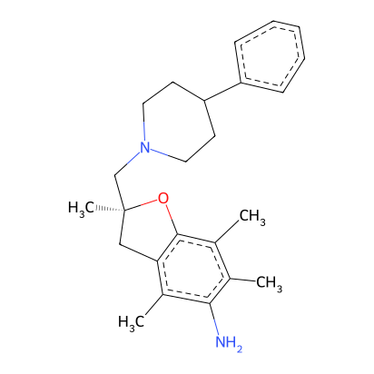 Cc1c(C)c2c(c(C)c1N)C[C@@](C)(CN1CCC(c3ccccc3)CC1)O2